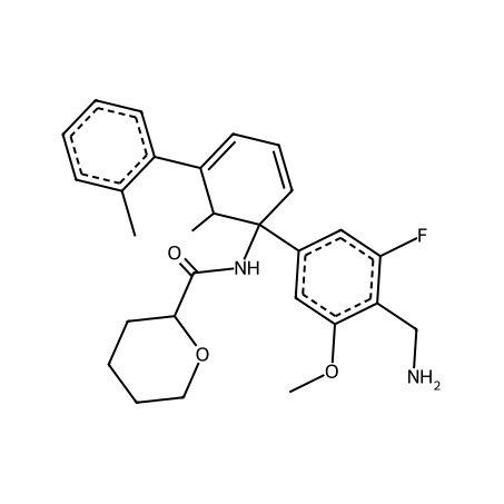 COc1cc(C2(NC(=O)C3CCCCO3)C=CC=C(c3ccccc3C)C2C)cc(F)c1CN